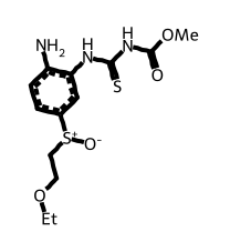 CCOCC[S+]([O-])c1ccc(N)c(NC(=S)NC(=O)OC)c1